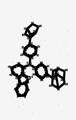 c1ccc2c(c1)oc1c(N(c3ccc(C4CC5CCC4C5)cc3)c3ccc(C45CC6CC(CC(C6)C4)C5)cc3)cccc12